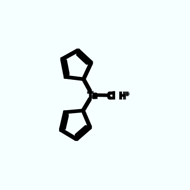 [Cl][Ta]([CH]1C=CC=C1)[CH]1C=CC=C1.[H+]